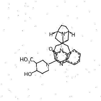 O=C(O)C1CN(c2nc3ccccc3n([C@H]3C[C@H]4CC[C@@H](C3)N4C3CCCCCCC3)c2=O)CCC1O